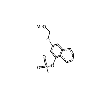 COCOc1cc(OS(C)(=O)=O)c2ccccc2c1